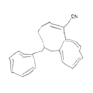 N#CC1=CCC(c2ccccc2)c2ccccc21